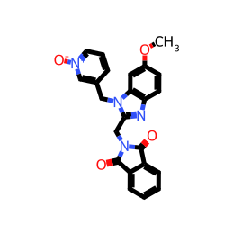 COc1ccc2nc(CN3C(=O)c4ccccc4C3=O)n(Cc3ccc[n+]([O-])c3)c2c1